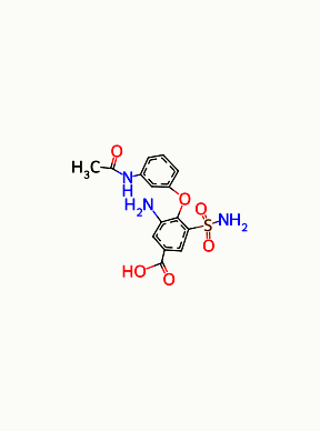 CC(=O)Nc1cccc(Oc2c(N)cc(C(=O)O)cc2S(N)(=O)=O)c1